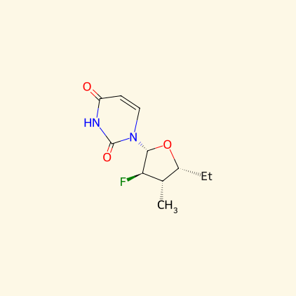 CC[C@H]1O[C@@H](n2ccc(=O)[nH]c2=O)[C@H](F)[C@H]1C